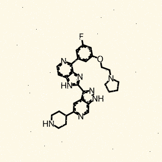 Fc1cc(OCCN2CCCC2)cc(-c2nccc3[nH]c(-c4n[nH]c5cnc(C6CCNCC6)cc45)nc23)c1